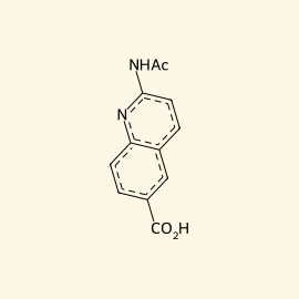 CC(=O)Nc1ccc2cc(C(=O)O)ccc2n1